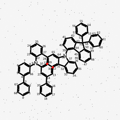 c1ccc(-c2cccc(N(c3cccc(-c4ccccc4)c3)c3ccccc3-c3ccc4c5ccccc5n(-c5cccc6c5-c5ccccc5C6(c5ccccc5)c5ccccc5)c4c3)c2)cc1